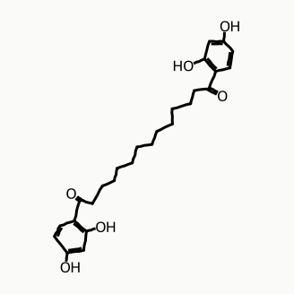 O=C(CCCCCCCCCCCCC(=O)c1ccc(O)cc1O)c1ccc(O)cc1O